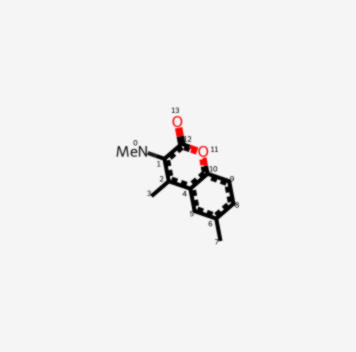 CNc1c(C)c2cc(C)ccc2oc1=O